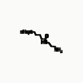 CCCCCCCCCCCC(=O)NCCCN